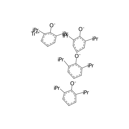 CC(C)c1cccc(C(C)C)c1[O-].CC(C)c1cccc(C(C)C)c1[O-].CC(C)c1cccc(C(C)C)c1[O-].CC(C)c1cccc(C(C)C)c1[O-].[Ti+4]